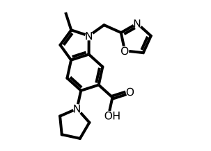 Cc1cc2cc(N3CCCC3)c(C(=O)O)cc2n1Cc1ncco1